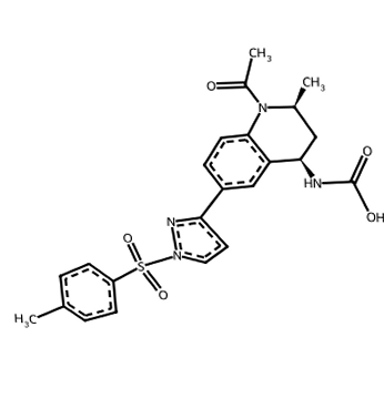 CC(=O)N1c2ccc(-c3ccn(S(=O)(=O)c4ccc(C)cc4)n3)cc2[C@H](NC(=O)O)C[C@@H]1C